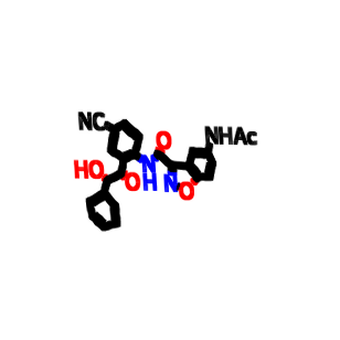 CC(=O)Nc1ccc2onc(C(=O)Nc3ccc(C#N)cc3C(=O)C(O)c3ccccc3)c2c1